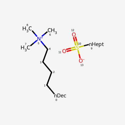 CCCCCCCCCCCCCC[N+](C)(C)C.CCCCCCCS(=O)(=O)[O-]